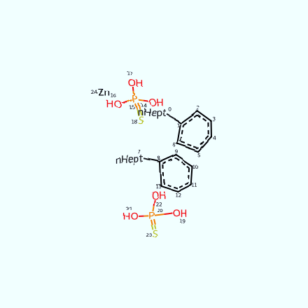 CCCCCCCc1ccccc1.CCCCCCCc1ccccc1.OP(O)(O)=S.OP(O)(O)=S.[Zn]